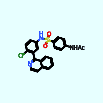 CC(=O)Nc1ccc(S(=O)(=O)Nc2ccc(Cl)c(-c3nccc4ccccc34)c2)cc1